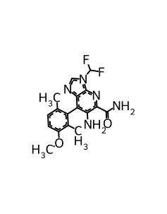 COc1ccc(C)c(-c2c(N)c(C(N)=O)nc3c2ncn3C(F)F)c1C